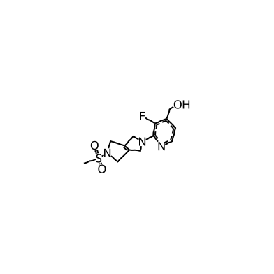 CS(=O)(=O)N1CC2=C(CN(c3nccc(CO)c3F)C2)C1